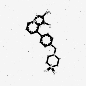 Nc1nn2cccc(-c3ccc(CN4CCS(=O)(=O)CC4)cc3)c2c1Cl